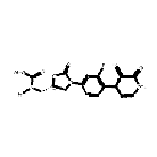 [CH2]OC(=O)N(C[C@H]1CN(c2ccc(C3CC[SH4]C(=O)C3=O)c(F)c2)C(=O)O1)C(C)=O